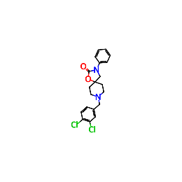 O=C1OC2(CCN(Cc3ccc(Cl)c(Cl)c3)CC2)CN1c1ccccc1